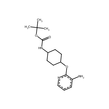 CC(C)(C)OC(=O)NC1CCC(Oc2ncccc2N)CC1